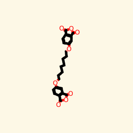 O=C1OC(=O)c2cc(OCCCCCCCCOc3ccc4c(c3)C(=O)OC4=O)ccc21